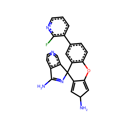 NC1=NC2(C3=CC(N)C=C3Oc3ccc(-c4cccnc4F)cc32)c2cnccc21